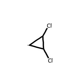 ClC1[CH]C1Cl